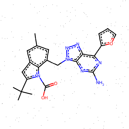 Cc1cc(Cn2nnc3c(-c4ccco4)nc(N)nc32)c2c(c1)cc(C(C)(C)C)n2C(=O)O